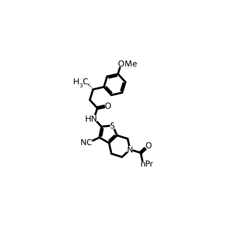 CCCC(=O)N1CCc2c(sc(NC(=O)C[C@H](C)c3cccc(OC)c3)c2C#N)C1